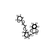 CC1(COCCO[C@H]2CCCCO2)CCCN(C[C@H]2COc3ccccc3O2)C1